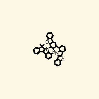 CC1(C)c2ccccc2-c2c1n1c3c(cccc23)B2c3c(cc4c(oc5ccccc54)c3-1)-c1cccc3c4sc5ccccc5c4n2c13